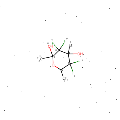 CCC1(O)C(F)(F)C(C(F)(F)F)OC(O)(C(F)(F)F)C1(F)F